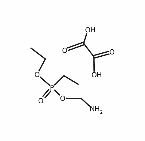 CCOP(=O)(CC)OCN.O=C(O)C(=O)O